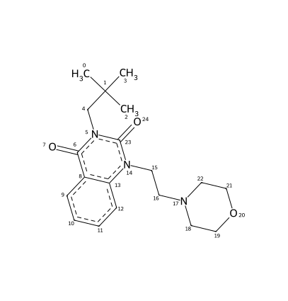 CC(C)(C)Cn1c(=O)c2ccccc2n(CCN2CCOCC2)c1=O